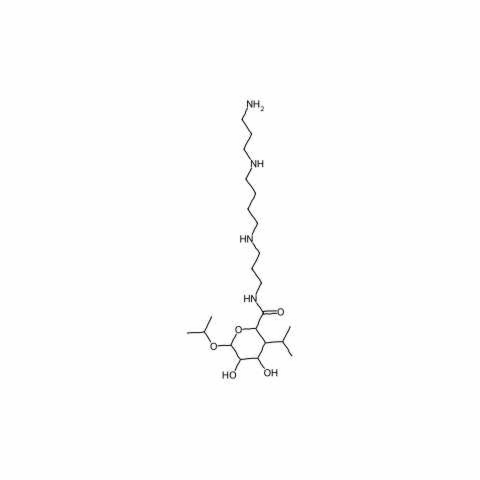 CC(C)OC1OC(C(=O)NCCCNCCCCNCCCN)C(C(C)C)C(O)C1O